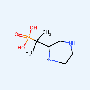 CC(C)(C1CNCC[N]1)P(=O)(O)O